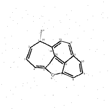 C[C@H]1C=CC=c2oc3cccc4ccc1c2c43